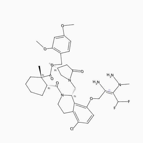 COc1ccc(COC(=O)[C@@]2(C)CCCC[C@H]2C(=O)N2CCc3c(Cl)ccc(OC/C(N)=C(\C(F)F)N(C)N)c3[C@H]2CN2C[C@H](C)CC2=O)c(OC)c1